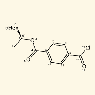 CCCCCC[C@H](C)OC(=O)c1ccc(C(=O)Cl)cc1